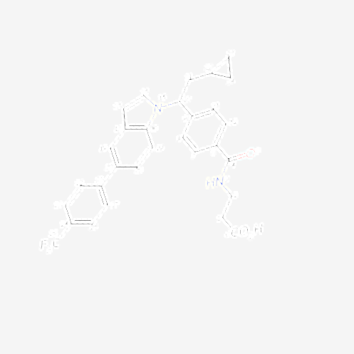 O=C(O)CCNC(=O)c1ccc(C(CC2CC2)n2ccc3cc(-c4ccc(C(F)(F)F)cc4)ccc32)cc1